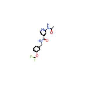 CC(=O)Nc1cc(C(=O)NCc2cccc(OC(F)F)c2)ccn1